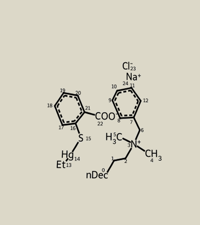 CCCCCCCCCCCC[N+](C)(C)Cc1ccccc1.C[CH2][Hg][S]c1ccccc1C(=O)[O-].[Cl-].[Na+]